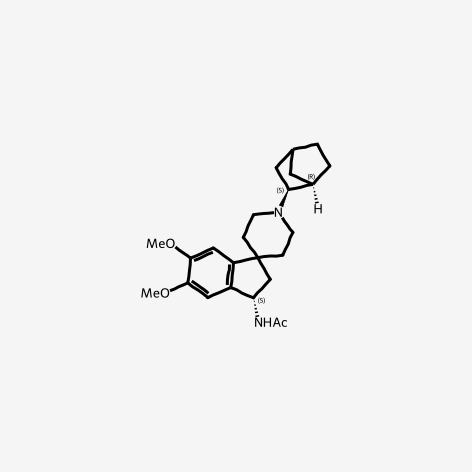 COc1cc2c(cc1OC)C1(CCN([C@H]3CC4CC[C@@H]3C4)CC1)C[C@@H]2NC(C)=O